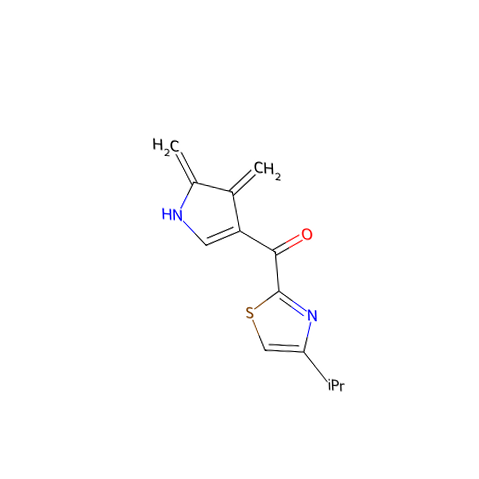 C=c1[nH]cc(C(=O)c2nc(C(C)C)cs2)c1=C